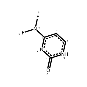 O=c1nc(N(F)F)cc[nH]1